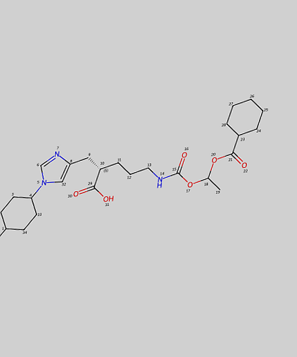 CC1CCC(n2cnc(C[C@H](CCCNC(=O)OC(C)OC(=O)C3CCCCC3)C(=O)O)c2)CC1